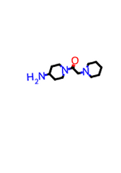 NC1CCN(C(=O)CN2CCCCC2)CC1